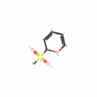 CS(=O)(=O)C1C=CC=CO1